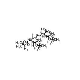 CC(C)(C)OC(=O)/N=C(/NCCCC[C@H](NC(=O)OC(C)(C)C)C(=O)S)NC(=O)OC(C)(C)C